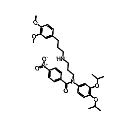 COc1ccc(CCCNCCCN(C(=O)c2ccc([N+](=O)[O-])cc2)c2ccc(OC(C)C)c(OC(C)C)c2)cc1OC